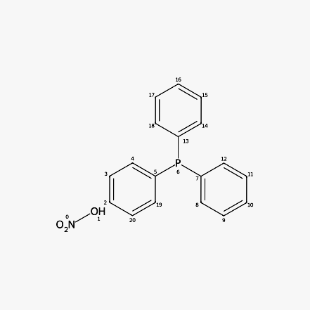 O=[N+]([O-])O.c1ccc(P(c2ccccc2)c2ccccc2)cc1